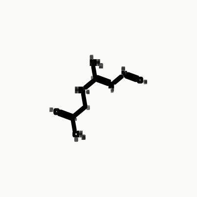 CC(=O)CNC(N)=NN=O